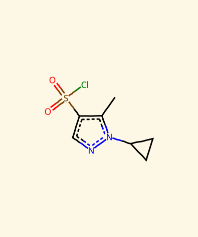 Cc1c(S(=O)(=O)Cl)cnn1C1CC1